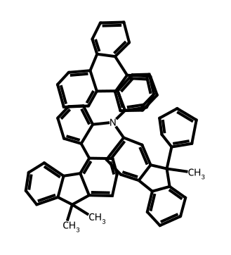 CC1(C)c2ccccc2-c2c(-c3ccccc3N(c3ccc4c(c3)C(C)(c3ccccc3)c3ccccc3-4)c3ccccc3-c3ccccc3-c3ccccc3-c3ccccc3)cccc21